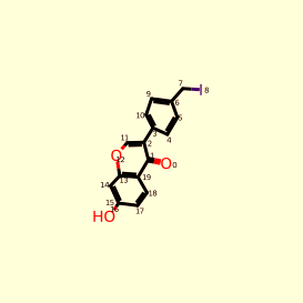 O=c1c(-c2ccc(CI)cc2)coc2cc(O)ccc12